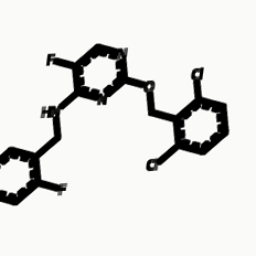 Fc1ccccc1CNc1nc(OCc2c(Cl)cccc2Cl)ncc1F